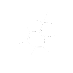 [CH3][Ge]([CH3])([CH3])[c]1c(F)c(F)c(F)c(F)c1F